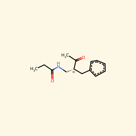 CCC(=O)NC[C@@H](Cc1ccccc1)C(C)=O